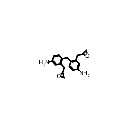 Nc1ccc(Cc2ccc(N)cc2CC2CO2)c(CC2CO2)c1